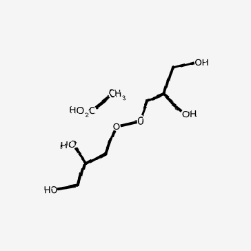 CC(=O)O.OCC(O)COOCC(O)CO